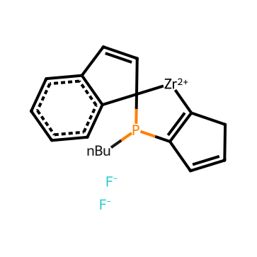 CCCCP1C2=[C](CC=C2)[Zr+2][C]12C=Cc1ccccc12.[F-].[F-]